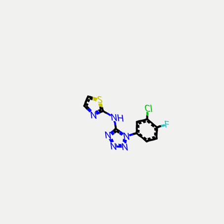 Fc1ccc(-n2nnnc2Nc2nccs2)cc1Cl